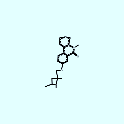 CC1CC(C)(COc2ccc3c(c2)c(=O)n(C)c2cnccc32)N1